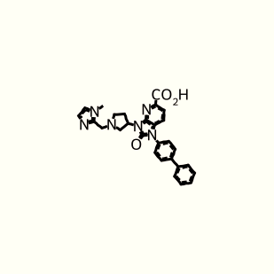 Cn1ccnc1CN1CCC(n2c(=O)n(-c3ccc(-c4ccccc4)cc3)c3ccc(C(=O)O)nc32)C1